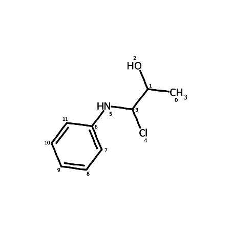 CC(O)C(Cl)Nc1ccccc1